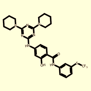 O=C(Nc1cccc(SC(F)(F)F)c1)c1ccc(Nc2nc(N3CCCCC3)nc(N3CCCCC3)n2)cc1O